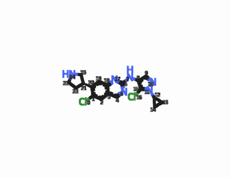 Clc1cc2cnc(Nc3cnn(C4CC4)c3Cl)nc2cc1[C@H]1CCNC1